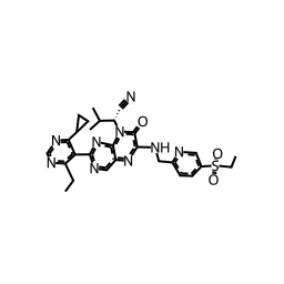 CCc1ncnc(C2CC2)c1-c1ncc2nc(NCc3ccc(S(=O)(=O)CC)cn3)c(=O)n([C@@H](C#N)C(C)C)c2n1